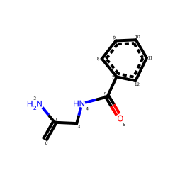 C=C(N)CNC(=O)c1ccccc1